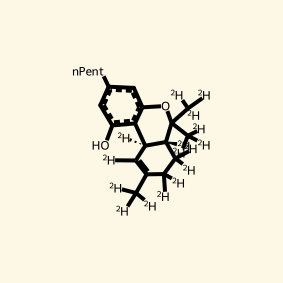 [2H]C1=C(C([2H])([2H])[2H])C([2H])([2H])C([2H])([2H])[C@@]2([2H])C(C([2H])([2H])[2H])(C([2H])([2H])[2H])Oc3cc(CCCCC)cc(O)c3[C@]12[2H]